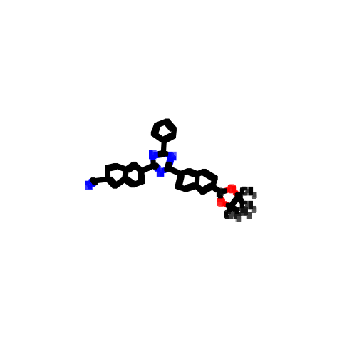 CC1(C)OB(c2ccc3cc(-c4nc(-c5ccccc5)nc(-c5ccc6cc(C#N)ccc6c5)n4)ccc3c2)OC1(C)C